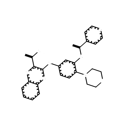 NC(=O)c1nc2ccccc2nc1Nc1ccc(N2CCOCC2)c(NC(=O)c2ccncc2)c1